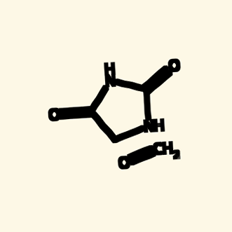 C=O.O=C1CNC(=O)N1